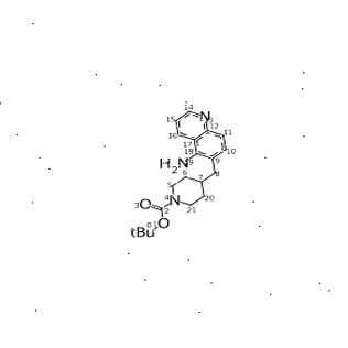 CC(C)(C)OC(=O)N1CCC(Cc2ccc3ncccc3c2N)CC1